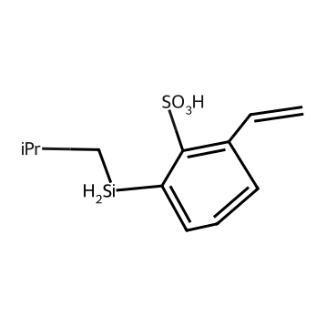 C=Cc1cccc([SiH2]CC(C)C)c1S(=O)(=O)O